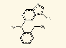 CCc1c[c]ccc1N(C)c1cc2c(cn1)ncn2C